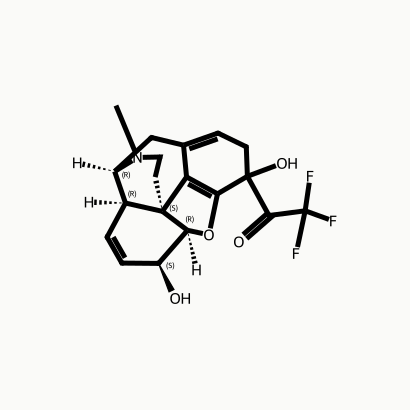 CN1CC[C@]23C4=C5O[C@H]2[C@@H](O)C=C[C@H]3[C@H]1CC4=CCC5(O)C(=O)C(F)(F)F